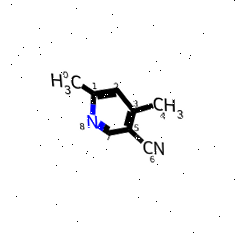 Cc1cc(C)c(C#N)[c]n1